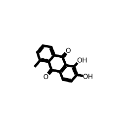 Cc1cccc2c1C(=O)c1ccc(O)c(O)c1C2=O